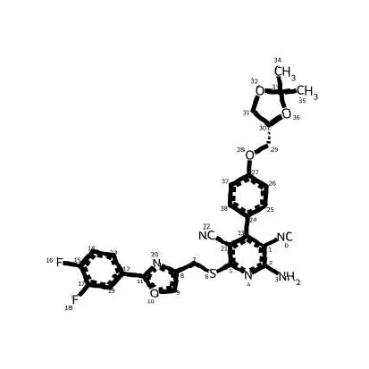 [C-]#[N+]c1c(N)nc(SCc2coc(-c3ccc(F)c(F)c3)n2)c(C#N)c1-c1ccc(OC[C@@H]2COC(C)(C)O2)cc1